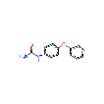 NC(=O)Nc1ccc(Oc2ccccc2)cc1